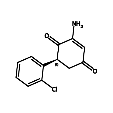 NC1=CC(=O)C[C@@H](c2ccccc2Cl)C1=O